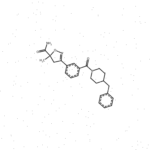 CC1(C(N)=O)CC(c2cccc(C(=O)N3CCC(Cc4ccccc4)CC3)c2)=NO1